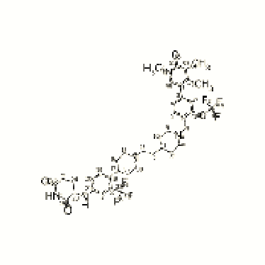 Cc1c(-c2ccc(CN3CCC(CCN4CCC(c5ccc(NC6CCC(=O)NC6=O)cc5C(F)(F)F)CC4)CC3)c(OC(F)(F)F)c2)cn(C)c(=O)c1C